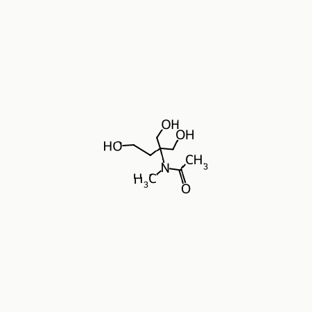 CC(=O)N(C)C(CO)(CO)CCO